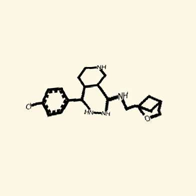 Clc1ccc(C2NNC(NCC34CC(CO3)C4)C3CNCCC23)cc1